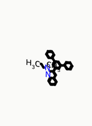 CCCN(C)c1nc2ccccc2cc1-c1cc(-c2ccccc2)cc(-c2ccccc2)c1